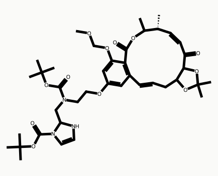 COCOc1cc(OCCN(CC2NC=CN2C(=O)OC(C)(C)C)C(=O)OC(C)(C)C)cc2c1C(=O)OC(C)[C@H](C)/C=C\C(=O)C1OC(C)(C)OC1C/C=C/2